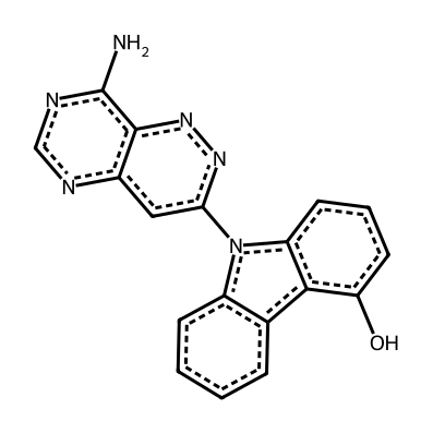 Nc1ncnc2cc(-n3c4ccccc4c4c(O)cccc43)nnc12